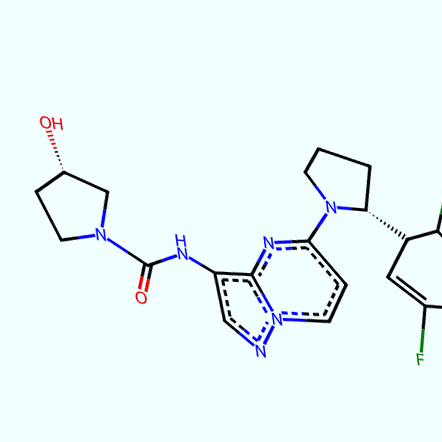 O=C(Nc1cnn2ccc(N3CCC[C@@H]3C3C=C(F)C=CC3F)nc12)N1CC[C@H](O)C1